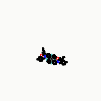 CCCC(C)(C)C(=O)N(Cc1ccc(C)cc1)c1ccc(F)[c]([Ti]([C]2=CC=CC2)([C]2=CC=CC2)[c]2c(F)ccc(N(Cc3ccc(C)cc3)C(=O)C(C)(C)CCC)c2F)c1F